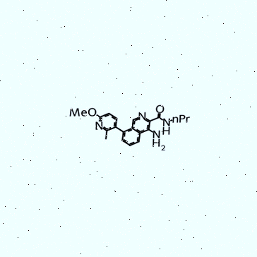 CCCNC(=O)c1ncc2c(-c3ccc(OC)nc3C)cccc2c1N